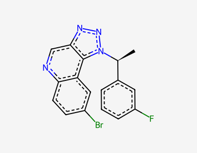 C[C@@H](c1cccc(F)c1)n1nnc2cnc3ccc(Br)cc3c21